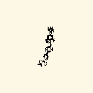 CC(C)OC(=O)N1CCC(c2cnc(Cn3ccc4cc(-n5cnnn5)cc(F)c43)cn2)CC1